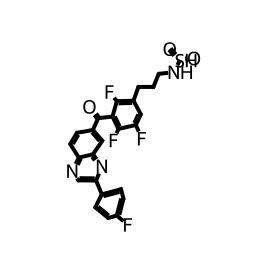 O=C(c1ccc2ncc(-c3ccc(F)cc3)nc2c1)c1c(F)c(F)cc(CCCN[SH](=O)=O)c1F